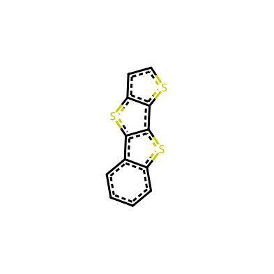 c1ccc2c(c1)sc1c3sccc3sc21